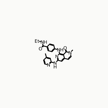 CCNC(=O)c1ccc(Nc2nc(Nc3cc(C)ccn3)cc3ccn(C)c(=O)c23)cc1